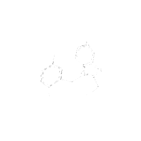 OCc1nc2cnccc2n1Cc1cc(Cl)ccc1Cl